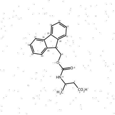 CC(CC(=O)O)NC(=O)OCC1c2ccccc2-c2ccccc21